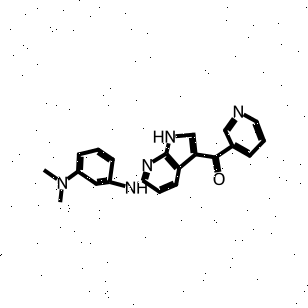 CN(C)c1cccc(Nc2ccc3c(C(=O)c4cccnc4)c[nH]c3n2)c1